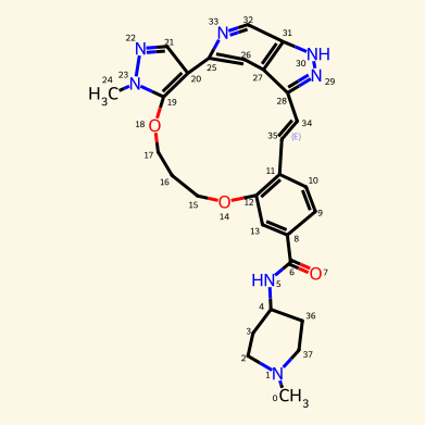 CN1CCC(NC(=O)c2ccc3c(c2)OCCCOc2c(cnn2C)-c2cc4c(n[nH]c4cn2)/C=C/3)CC1